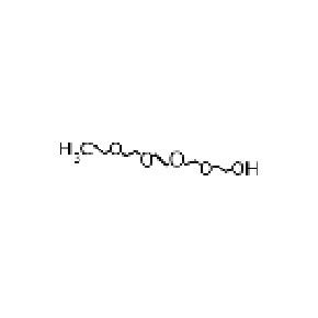 CCCOCCOCCOCCOCCO